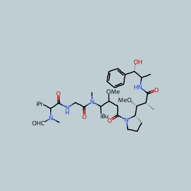 CCC(C)C(C(CC(=O)N1CCC[C@H]1[C@H](OC)[C@@H](C)C(=O)NC(C)[C@@H](O)c1ccccc1)OC)N(C)C(=O)CNC(=O)C(C(C)C)N(C)C=O